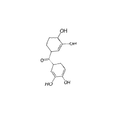 O=C(C1C=C(O)C(O)=CC1)C1C=C(O)C(O)CC1